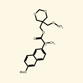 COc1ccc2cc([C@H](C)C(=O)OCC3(CO[N+](=O)[O-])COCOC3)ccc2c1